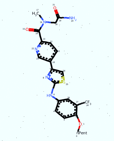 CCCCCOc1ccc(Nc2nc(-c3ccc(C(=O)N(C)CC(N)=O)nc3)cs2)cc1C(F)(F)F